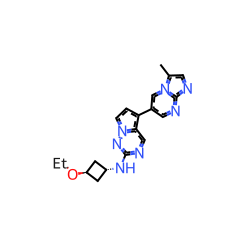 CCO[C@H]1C[C@H](Nc2ncc3c(-c4cnc5ncc(C)n5c4)ccn3n2)C1